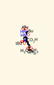 CCC(C)C(NC(=O)OC(C)(C)C)C(=O)N[C@H]1CN(C(=O)OC(C)(C)C)[C@@](CCCCB2OC(C)(C)C(C)(C)O2)(C(=O)O)C1